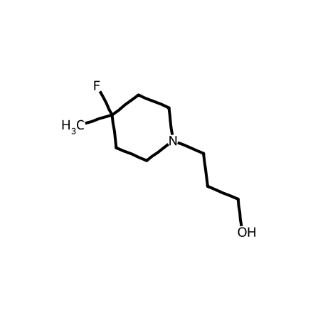 CC1(F)CCN(CCCO)CC1